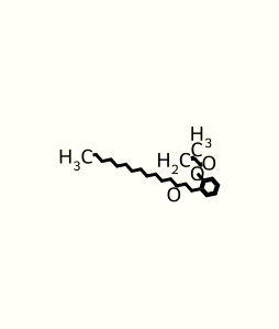 C=C(C)C(=O)Oc1ccccc1CCC(=O)CCCCCCCCCCCC